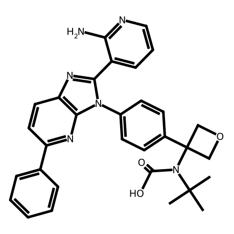 CC(C)(C)N(C(=O)O)C1(c2ccc(-n3c(-c4cccnc4N)nc4ccc(-c5ccccc5)nc43)cc2)COC1